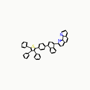 c1ccc(-c2sc(-c3ccc(-c4ccc(-c5ccc6ccc7cccnc7c6n5)c5ccccc45)cc3)c(-c3ccccc3)c2-c2ccccc2)cc1